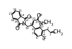 C=CCc1c(F)ccc2c(CN3C(=O)c4ccccc4C3=O)cc(=O)n(C)c12